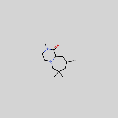 CCC1CC2C(=O)N(CC)CCN2CC(C)(C)C1